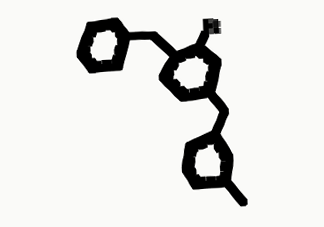 CCc1cc(Cc2cccc(C)c2)ccc1Cc1ccccc1